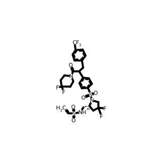 C=CS(=O)(=O)NC[C@H]1CC(F)(F)CN1S(=O)(=O)c1ccc(C(Cc2ccc(C(F)(F)F)cc2)C(=O)N2CCC(F)(F)CC2)cc1